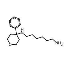 NCCCCCCNC1(c2ccccc2)CCOCC1